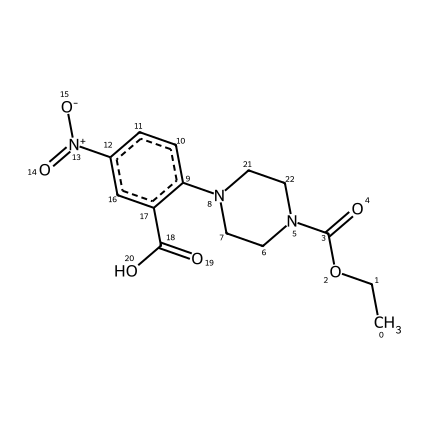 CCOC(=O)N1CCN(c2ccc([N+](=O)[O-])cc2C(=O)O)CC1